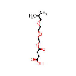 CC(C)COCCOCCOC(=O)CCC(=O)O